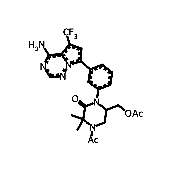 CC(=O)OCC1CN(C(C)=O)C(C)(C)C(=O)N1c1cccc(-c2cc(C(F)(F)F)c3c(N)ncnn23)c1